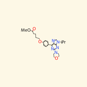 COC(=O)CCCCOc1ccc(-c2nc(N3CCOCC3)nc3c2ncn3C(C)C)cc1